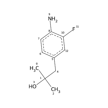 CC(C)(O)Cc1ccc(N)c(F)c1